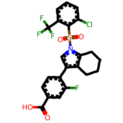 O=C(O)c1ccc(-c2cn(S(=O)(=O)c3c(Cl)cccc3C(F)(F)F)c3c2CCCC3)c(F)c1